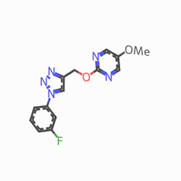 COc1cnc(OCc2cn(-c3cccc(F)c3)nn2)nc1